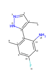 Cc1cn[nH]c1-c1c(C)cc(F)cc1N